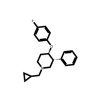 Fc1ccc(O[C@@H]2CCN(CC3CC3)C[C@H]2c2ccccc2)cc1